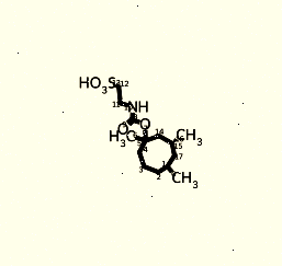 CC1CCCC(C)(OC(=O)NCCS(=O)(=O)O)C[C@@H](C)C1